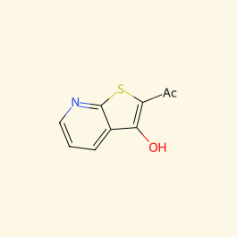 CC(=O)c1sc2ncccc2c1O